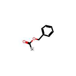 O=C([Si])OCc1ccccc1